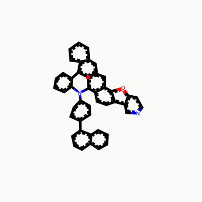 c1ccc(N(c2ccc(-c3cccc4ccccc34)cc2)c2cccc3c2ccc2c4cnccc4oc32)c(-c2cccc3ccccc23)c1